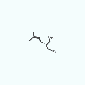 CC(C)=CC[C@H](CO)CC(C)C